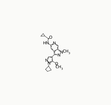 COc1c(-c2nn(C)c3cnc(NC(=O)C4CC4)cc23)cnn1C1CCC1